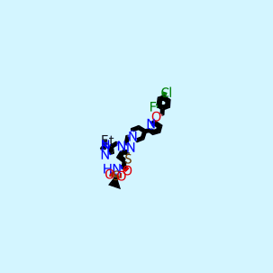 CCn1cncc1Cn1c(CN2CCC(c3cccc(OCc4ccc(Cl)cc4F)n3)CC2)nc2sc(C(=O)NS(=O)(=O)C3CC3)cc21